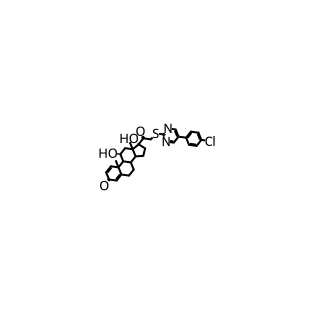 CC12C=CC(=O)C=C1CCC1C2[C@@H](O)CC2(C)C1CC[C@]2(O)C(=O)CSc1ncc(-c2ccc(Cl)cc2)cn1